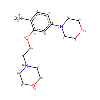 O=[N+]([O-])c1ccc(N2CCOCC2)cc1OCCN1CCOCC1